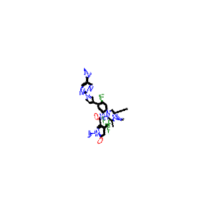 CC1CN(c2cc(F)c(C3=CCN(c4ncc(C#N)cn4)C3)cc2NC(=O)c2c[nH]c(=O)cc2C(F)(F)F)CC(C)N1C